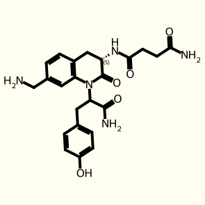 NCc1ccc2c(c1)N(C(Cc1ccc(O)cc1)C(N)=O)C(=O)[C@@H](NC(=O)CCC(N)=O)C2